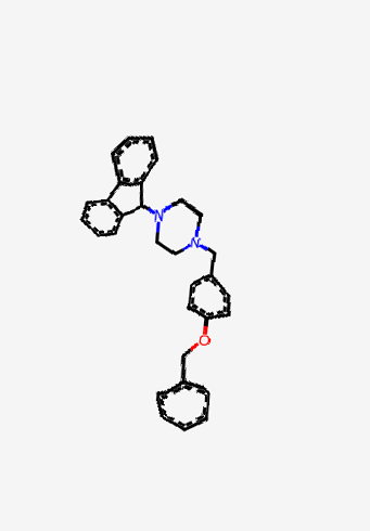 c1ccc(COc2ccc(CN3CCN(C4c5ccccc5-c5ccccc54)CC3)cc2)cc1